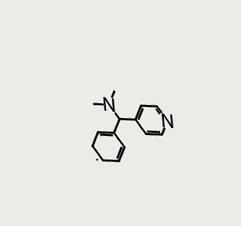 CN(C)C(C1=CC[CH]C=C1)c1ccncc1